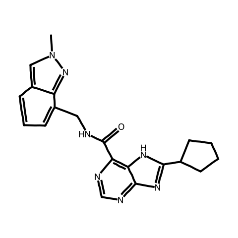 Cn1cc2cccc(CNC(=O)c3ncnc4nc(C5CCCC5)[nH]c34)c2n1